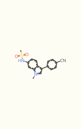 Cn1cc(-c2ccc(C#N)cc2)c2ccc(NS(C)(=O)=O)cc21